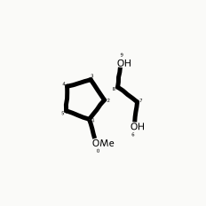 COC1CCCC1.OCCO